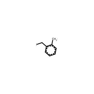 [CH2]c1ccccc1CI